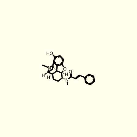 CN1CC[C@@]23c4c5ccc(O)c4C[C@@H]1[C@@H]2CC[C@@H](N(C)C(=O)C=Cc1ccccc1)[C@@H]3O5